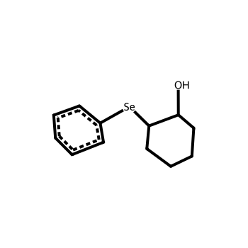 OC1CCCCC1[Se]c1ccccc1